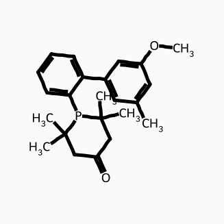 COc1cc(C)cc(-c2ccccc2P2C(C)(C)CC(=O)CC2(C)C)c1